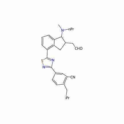 CCCN(C)C1c2cccc(-c3nc(-c4ccc(CC(C)C)c(C#N)c4)ns3)c2CC1CC=O